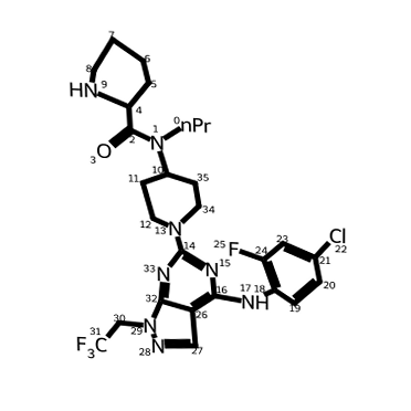 CCCN(C(=O)C1CCCCN1)C1CCN(c2nc(Nc3ccc(Cl)cc3F)c3cnn(CC(F)(F)F)c3n2)CC1